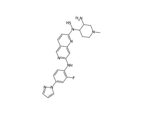 CN1CCC(N(S)c2ccc3cnc(Nc4ccc(-n5cccn5)cc4F)cc3n2)C(N)C1